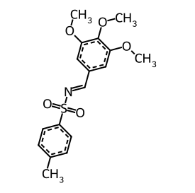 COc1cc(C=NS(=O)(=O)c2ccc(C)cc2)cc(OC)c1OC